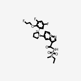 CCN(C)S(=O)(=O)NC(=O)c1cnn2ccc(N3CCC[C@@H]3c3cc(F)cc(F)c3OCCF)cc12